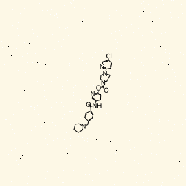 O=C(Nc1ccc(OC(=O)N2CCN(c3ccc(Cl)cn3)CC2)nc1)c1ccc(CN2CCCCC2)cc1